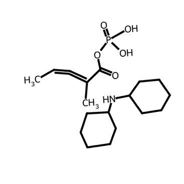 C1CCC(NC2CCCCC2)CC1.CC=C=C(C)C(=O)OP(=O)(O)O